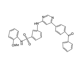 COc1ccccc1NS(=O)(=O)c1cccc(Nc2cc(-c3ccc(C(=O)c4ccccc4)cc3)ncn2)c1